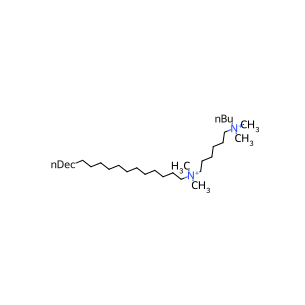 CCCCCCCCCCCCCCCCCCCCCC[N+](C)(C)CCCCCC[N+](C)(C)CCCC